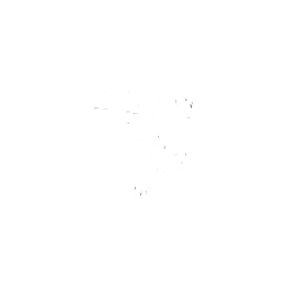 C[C](C12CC3CC(CC(C#N)(C3)C1)C2)C12CC3CC(CC(C#N)(C3)C1)C2